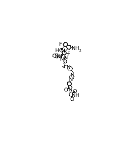 C#Cc1c(F)ccc2cc(N)cc(-c3ncc4c(N5CC6CCC(C5)N6)nc(OCC5(CN6CCC(CN7CCN(c8ccc9c(c8)CN([C@H]8CCC(=O)NC8=O)C9=O)CC7)CC6)CC5)nc4c3F)c12